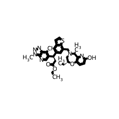 CCOC(=O)C[C@H](c1cc(CN2C[C@@H](CC)Oc3ccc(O)nc3[C@@H]2C)c2sccc2c1)c1cnc2c(nnn2C)c1C